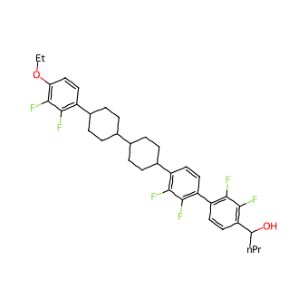 CCCC(O)c1ccc(-c2ccc(C3CCC(C4CCC(c5ccc(OCC)c(F)c5F)CC4)CC3)c(F)c2F)c(F)c1F